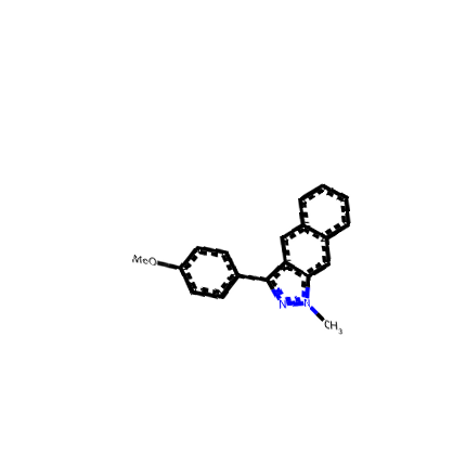 COc1ccc(-c2nn(C)c3cc4ccccc4cc23)cc1